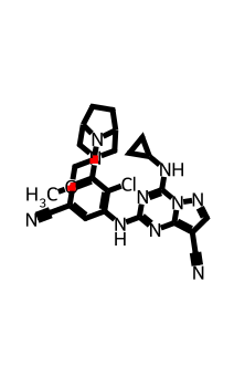 COCCN1C2CCC1CN(c1cc(C#N)cc(Nc3nc(NC4CC4)n4ncc(C#N)c4n3)c1Cl)C2